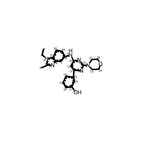 CCn1c(C)nc2cc(Nc3cc(-c4cccc(O)c4)nc(N4CCOCC4)n3)ccc21